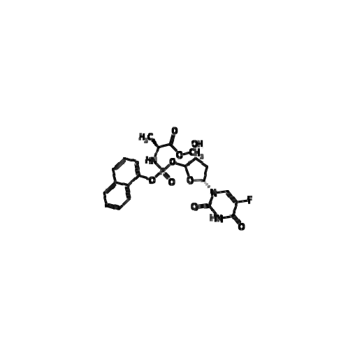 COC(=O)[C@H](C)NP(=O)(Oc1cccc2ccccc12)OC1O[C@@H](n2cc(F)c(=O)[nH]c2=O)C[C@H]1O